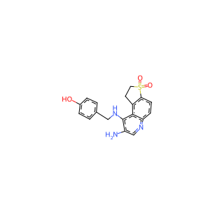 Nc1cnc2ccc3c(c2c1NCc1ccc(O)cc1)CCS3(=O)=O